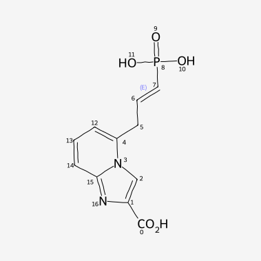 O=C(O)c1cn2c(C/C=C/P(=O)(O)O)cccc2n1